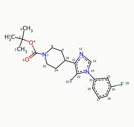 CC(C)(C)OC(=O)N1CCC(c2ncn(-c3cccc(F)c3)c2I)CC1